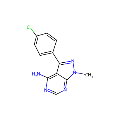 Cn1nc(-c2ccc(Cl)cc2)c2c(N)ncnc21